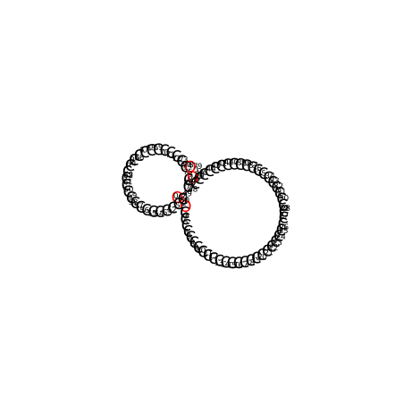 O=C1OCCCCCCCCCCCCCCCCCCCCCCCCCCCCCCCCCCCCCCCCCCCCCCC12CCCCCCCCCCCCCCCCCCCCCCCCCC1(CC2)OCCO1